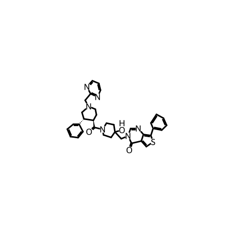 O=C([C@@H]1CCN(Cc2ncccn2)C[C@H]1c1ccccc1)N1CCC(O)(Cn2cnc3c(-c4ccccc4)scc3c2=O)CC1